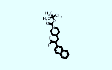 CC(C)(C)OC(=O)N1CCC(CC(=C(F)F)c2ccc3ccccc3c2)CC1